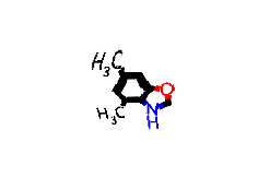 Cc1cc(C)c2c(c1)OCN2